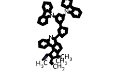 C=CC1=C(/C=C\C)c2c(ccc3c(-c4cccc(-c5cc(-n6c7ccccc7c7ccccc76)cc(-n6c7ccccc7c7ccccc76)c5)c4)nc4ccccc4c23)C1(C)C